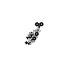 CC(C)c1ccc2c(Nc3cc(C(=O)Nc4ncc(C(C)(C)C)s4)ccc3Sc3ccc(NC(=O)OCC4c5ccccc5-c5ccccc54)cc3)ncnc2n1